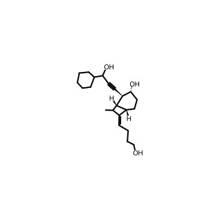 CC1/C(=C/CCCO)[C@H]2CC[C@@H](O)[C@H](C#CC(O)C3CCCCC3)[C@@H]12